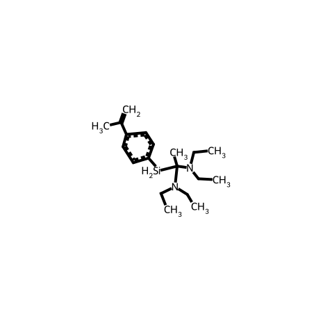 C=C(C)c1ccc([SiH2]C(C)(N(CC)CC)N(CC)CC)cc1